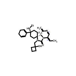 C=C(/N=C\C(=C/C)N1C[C@]2(CC[C@@](NCC)(C3=CCCC=C3)CC2)N(CC2(O)CCC2)C1=O)C(F)(F)F